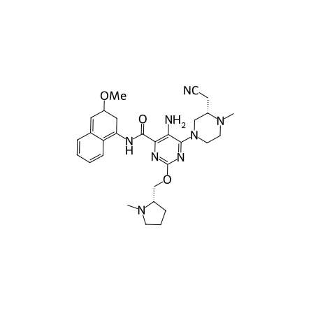 COC1C=c2ccccc2=C(NC(=O)c2nc(OC[C@@H]3CCCN3C)nc(N3CCN(C)[C@@H](CC#N)C3)c2N)C1